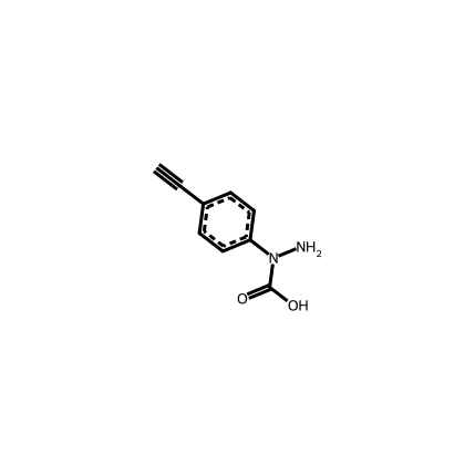 C#Cc1ccc(N(N)C(=O)O)cc1